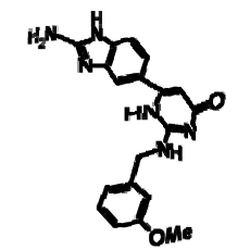 COc1cccc(CNc2nc(=O)cc(-c3ccc4[nH]c(N)nc4c3)[nH]2)c1